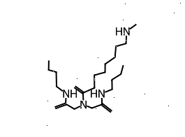 C=C(CN(CC(=C)NCCCC)C(=C)CCCCCCCNC)NCCCC